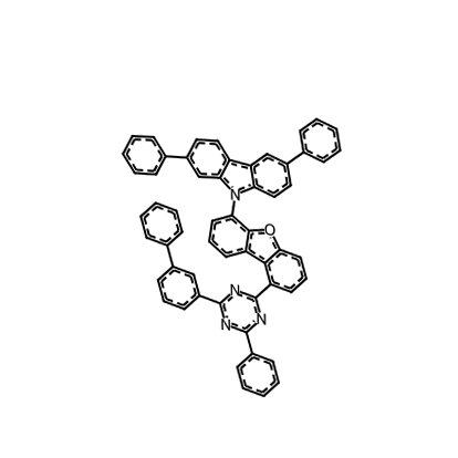 c1ccc(-c2cccc(-c3nc(-c4ccccc4)nc(-c4cccc5oc6c(-n7c8ccc(-c9ccccc9)cc8c8ccc(-c9ccccc9)cc87)cccc6c45)n3)c2)cc1